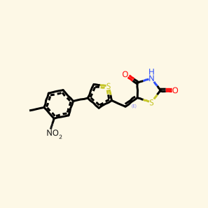 Cc1ccc(-c2csc(/C=C3/SC(=O)NC3=O)c2)cc1[N+](=O)[O-]